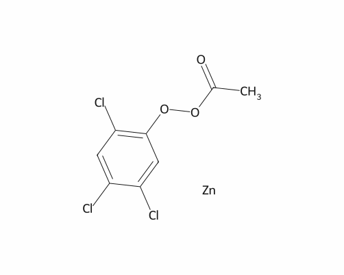 CC(=O)OOc1cc(Cl)c(Cl)cc1Cl.[Zn]